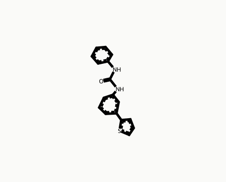 O=C(Nc1ccccc1)Nc1cccc(-c2cccs2)c1